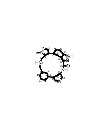 Cn1ncc2c1CNCc1cccc(c1)-c1cncc(c1)NC(=O)c1n[nH]c3ccc-2cc13